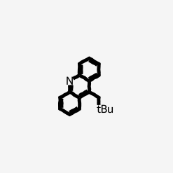 CC(C)(C)Cc1c2ccccc2nc2ccccc12